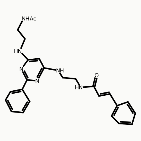 CC(=O)NCCNc1cc(NCCNC(=O)/C=C/c2ccccc2)nc(-c2ccccc2)n1